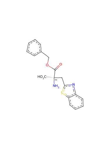 N[C@@](Cc1nc2ccccc2s1)(C(=O)O)C(=O)OCc1ccccc1